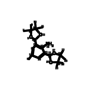 Cc1cc(B2OC(C)(C)C(C)(C)O2)c(N)c(B2OC(C)(C)C(C)(C)O2)c1